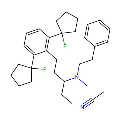 CC#N.CCC(CCc1c(C2(F)CCCC2)cccc1C1(F)CCCC1)N(C)CCc1ccccc1